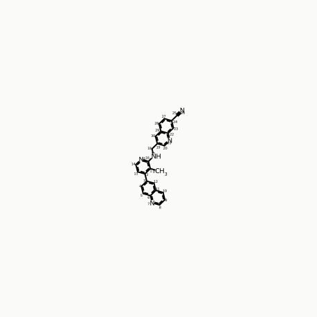 Cc1c(-c2ccc3ncccc3c2)ccnc1NCc1cnc2cc(C#N)ccc2c1